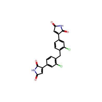 O=C1C=C(c2ccc(Cc3ccc(C4=CC(=O)NC4=O)cc3Cl)c(Cl)c2)C(=O)N1